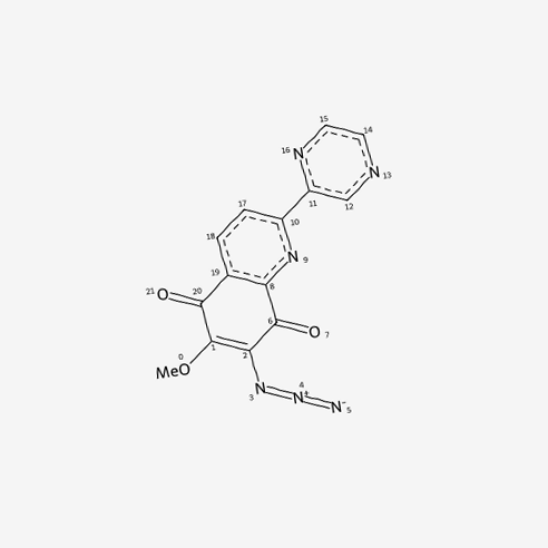 COC1=C(N=[N+]=[N-])C(=O)c2nc(-c3cnccn3)ccc2C1=O